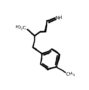 Cc1ccc(CC(CC=N)C(=O)O)cc1